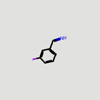 N=Cc1cccc(I)c1